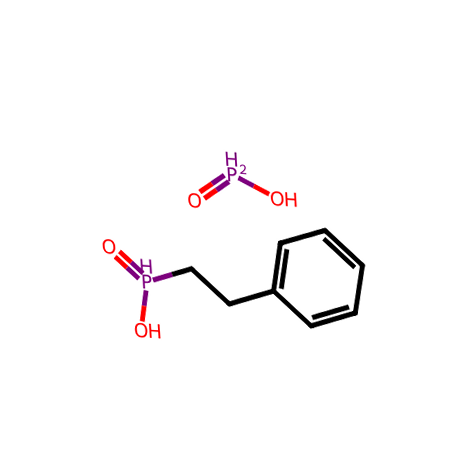 O=[PH2]O.O=[PH](O)CCc1ccccc1